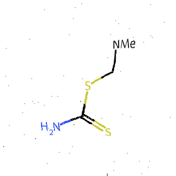 CNCSC(N)=S